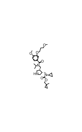 COCCCOc1cc(C(=O)N(C[C@@H]2CNC[C@H]2CN(C(=O)OCC2(C)CC2)C2CC2)C(C)C)ccc1OC